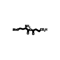 CSCC[C@H](N)C(=O)OC(=O)CCC(=O)O